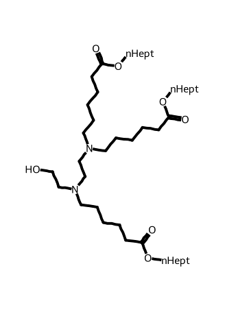 CCCCCCCOC(=O)CCCCCN(CCO)CCN(CCCCCC(=O)OCCCCCCC)CCCCCC(=O)OCCCCCCC